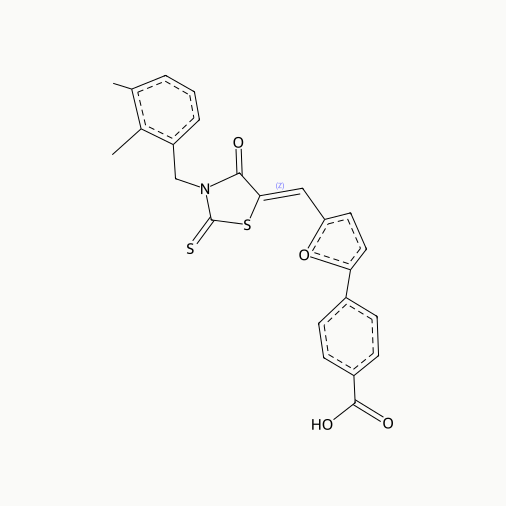 Cc1cccc(CN2C(=O)/C(=C/c3ccc(-c4ccc(C(=O)O)cc4)o3)SC2=S)c1C